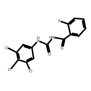 O=C(NC(=O)c1ccccc1F)Nc1cc(Cl)c(Cl)c(Cl)c1